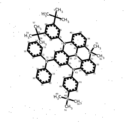 CC(C)(C)c1cc(N2c3cc(N(c4ccccc4)c4ccccc4)cc4c3B3c5c(cccc5[Si](C)(C)c5cccc2c53)N4c2ccc([Si](C)(C)C)cc2)cc(C(C)(C)C)c1